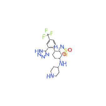 FC(F)(F)c1ccc(C2CCC(NC3CCNCC3)CC2)c(-c2nnn[nH]2)c1.N[SH](=O)=O